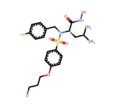 CC(C)C[C@H](C(=O)NO)N(Cc1ccc(F)cc1)S(=O)(=O)c1ccc(OCCCCl)cc1